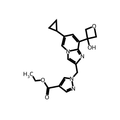 CCOC(=O)c1cnn(Cc2cn3cc(C4CC4)cc(C4(O)COC4)c3n2)c1